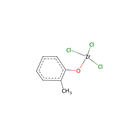 Cc1ccccc1[O][Zr]([Cl])([Cl])[Cl]